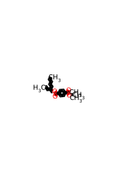 CCCCCC(CCC)COC(=O)C1CCC(C(=O)OC(C)(C)C)CC1